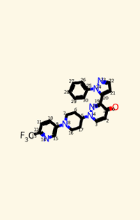 O=c1ccn(C2CCN(c3ccc(C(F)(F)F)nc3)CC2)nc1-c1ccnn1-c1ccccc1